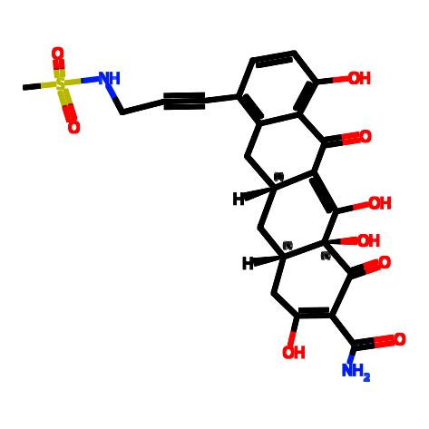 CS(=O)(=O)NCC#Cc1ccc(O)c2c1C[C@H]1C[C@H]3CC(O)=C(C(N)=O)C(=O)[C@@]3(O)C(O)=C1C2=O